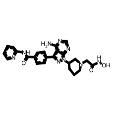 Nc1ncnc2c1c(-c1ccc(C(=O)Nc3ccccn3)cc1)nn2C1CCCN(CC(=O)NO)C1